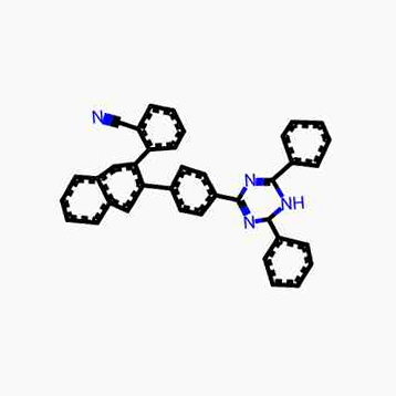 N#Cc1ccccc1-c1cc2ccccc2cc1-c1ccc(C2=NC(c3ccccc3)NC(c3ccccc3)=N2)cc1